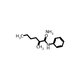 C=C(CCCC)C(=O)Nc1ccccc1.N